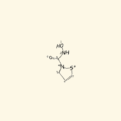 O=C(NO)N1CC=CS1